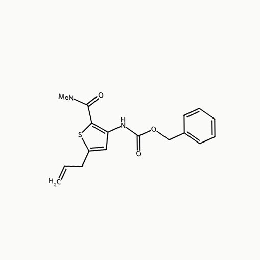 C=CCc1cc(NC(=O)OCc2ccccc2)c(C(=O)NC)s1